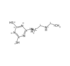 CCNCC.Nc1nc(S)nc(S)n1